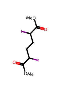 COC(=O)C(I)CCC(I)C(=O)OC